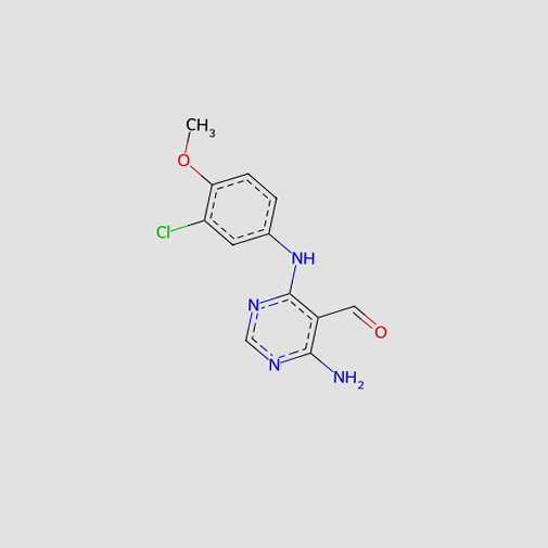 COc1ccc(Nc2ncnc(N)c2C=O)cc1Cl